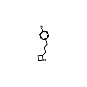 CCc1ccc(CCCC2CCN2)cc1